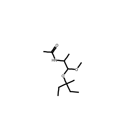 CCC(C)(CC)OC(OC)C(C)NC(C)=O